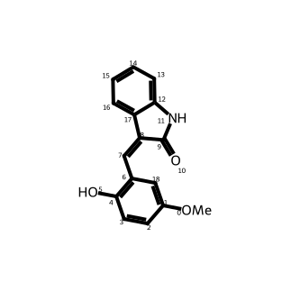 COc1ccc(O)c(/C=C2\C(=O)Nc3ccccc32)c1